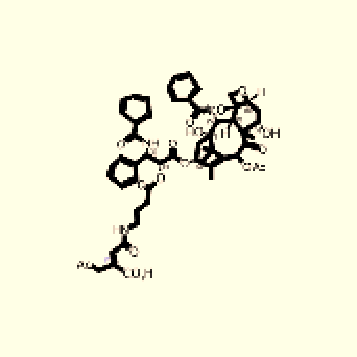 CC(=O)C/C(=C/C(=O)NCCCC(=O)O[C@@H](C(=O)O[C@H]1C[C@@]2(O)[C@@H](OC(=O)c3ccccc3)[C@H]3C(C)(C(=O)C(OC(C)=O)C(=C1C)C2(C)C)[C@@H](O)C[C@H]1OC[C@]13OC(C)=O)[C@@H](NC(=O)c1ccccc1)c1ccccc1)C(=O)O